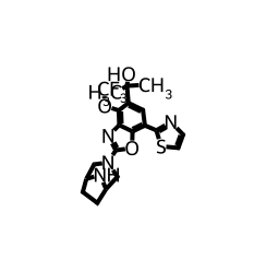 CC(C)(O)c1cc(-c2nccs2)c2oc(N3CC4CCC(C3)N4)nc2c1OC(F)(F)F